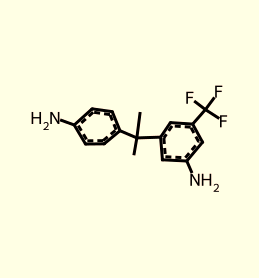 CC(C)(c1ccc(N)cc1)c1cc(N)cc(C(F)(F)F)c1